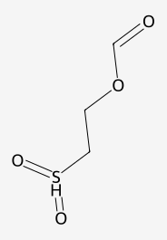 O=COCC[SH](=O)=O